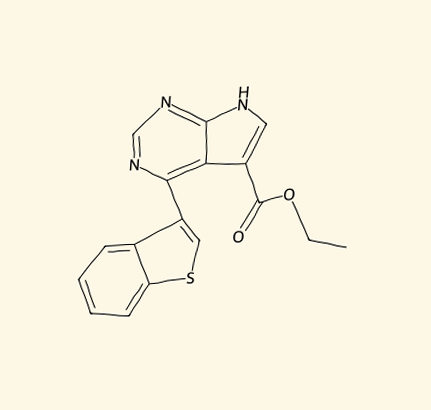 CCOC(=O)c1c[nH]c2ncnc(-c3csc4ccccc34)c12